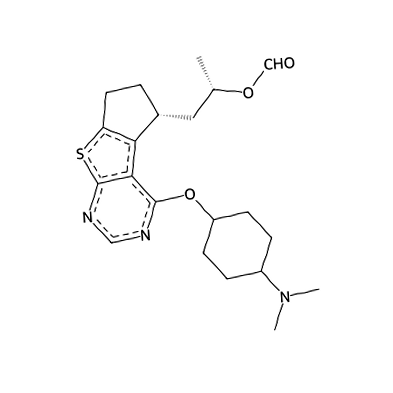 C[C@@H](C[C@H]1CCc2sc3ncnc(OC4CCC(N(C)C)CC4)c3c21)OC=O